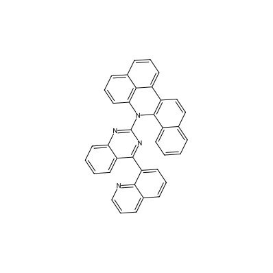 c1ccc2c3c(ccc2c1)-c1cccc2cccc(c12)N3c1nc(-c2cccc3cccnc23)c2ccccc2n1